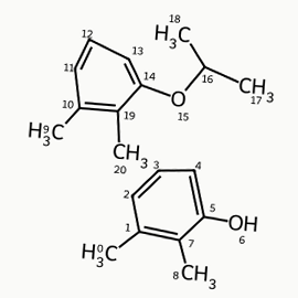 Cc1cccc(O)c1C.Cc1cccc(OC(C)C)c1C